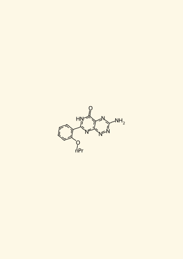 CCCOc1ccccc1-c1nc2nnc(N)nc2c(=O)[nH]1